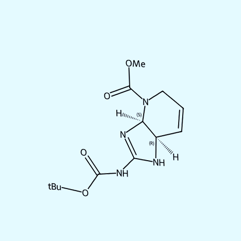 COC(=O)N1CC=C[C@H]2NC(NC(=O)OC(C)(C)C)=N[C@H]21